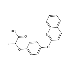 C[C@@H](Oc1ccc(Oc2ccc3ccccc3n2)cc1)C(=O)O